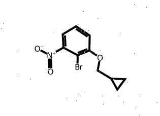 O=[N+]([O-])c1cccc(OCC2CC2)c1Br